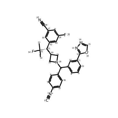 [C-]#[N+]c1ccc(C(c2cccc(-c3nnco3)c2)N2CC([C@@H](c3cc(F)cc(C#N)c3)C(C)(C)F)C2)cc1